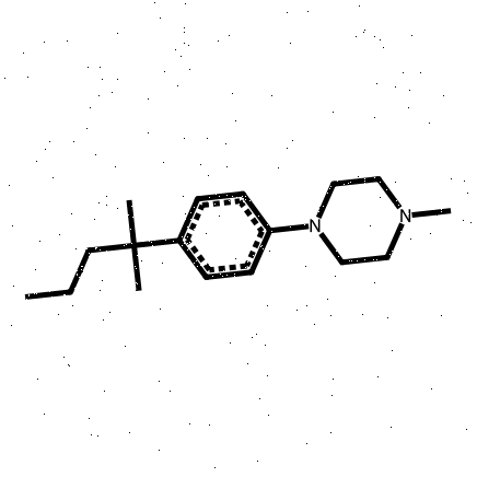 CCCC(C)(C)c1ccc(N2CCN(C)CC2)cc1